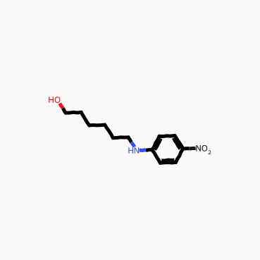 O=[N+]([O-])c1ccc(NCCCCCCO)cc1